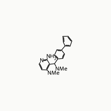 CNc1ccnc(N)c1C(NC)c1ccc(-c2ccccc2)cc1